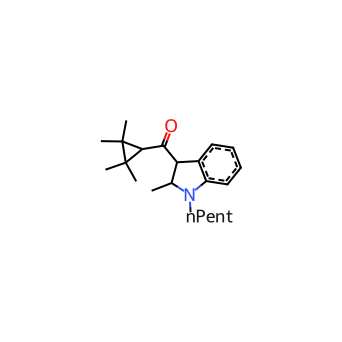 CCCCCN1c2ccccc2C(C(=O)C2C(C)(C)C2(C)C)C1C